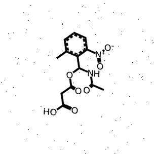 CC(=O)NC(OC(=O)CC(=O)O)c1c(C)cccc1[N+](=O)[O-]